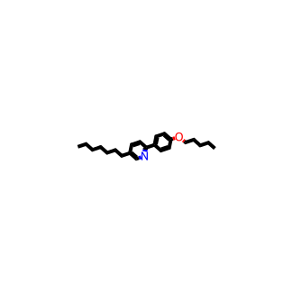 CCCCCCCc1ccc(-c2ccc(OCCCCC)cc2)nc1